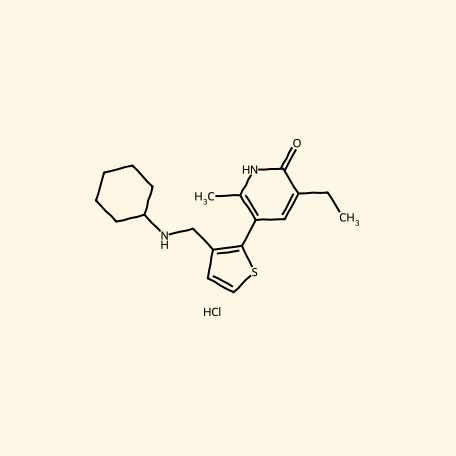 CCc1cc(-c2sccc2CNC2CCCCC2)c(C)[nH]c1=O.Cl